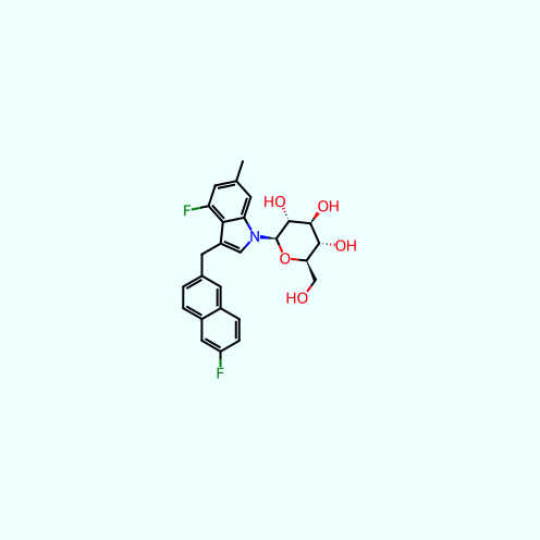 Cc1cc(F)c2c(Cc3ccc4cc(F)ccc4c3)cn([C@@H]3O[C@H](CO)[C@@H](O)[C@H](O)[C@H]3O)c2c1